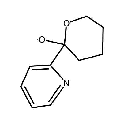 [O]C1(c2ccccn2)CCCCO1